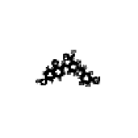 COc1ccc2c(c1)CCC(CC1C=CN(Cc3cccc(Cl)c3)C=C1C(C)=O)C2=O